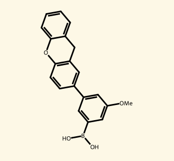 COc1cc(B(O)O)cc(-c2ccc3c(c2)Cc2ccccc2O3)c1